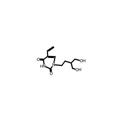 C=Cc1cn(CCC(CO)CO)c(=O)[nH]c1=O